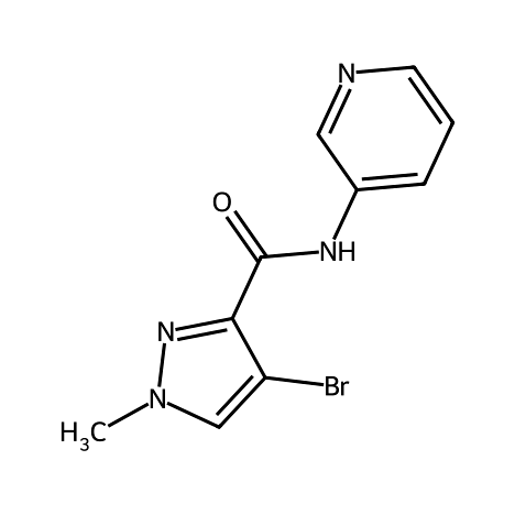 Cn1cc(Br)c(C(=O)Nc2cccnc2)n1